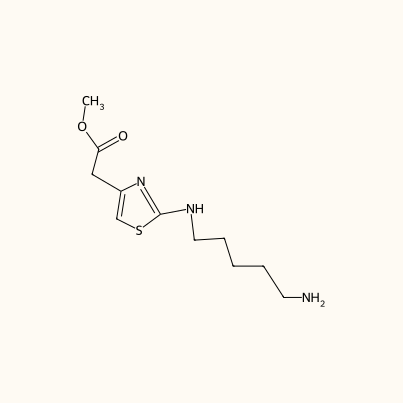 COC(=O)Cc1csc(NCCCCCN)n1